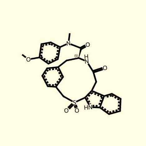 COc1ccc(N(C)C(=O)[C@@H]2Cc3cccc(c3)CS(=O)(=O)c3[nH]c4ccccc4c3CC(=O)N2)cc1